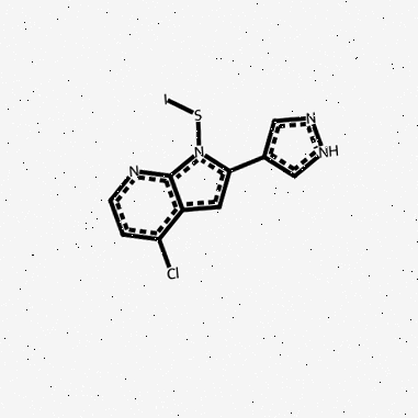 Clc1ccnc2c1cc(-c1cn[nH]c1)n2SI